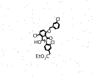 CCOC(=O)Cc1ccc(N2C(=O)c3c(OCc4cccc(Cl)c4)ccc(Cl)c3C2O)c(Cl)c1